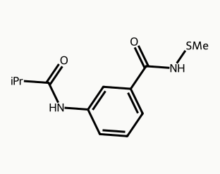 CSNC(=O)c1cccc(NC(=O)C(C)C)c1